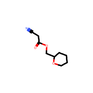 N#CCC(=O)OCC1CCCCO1